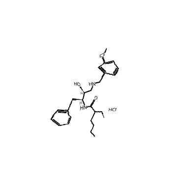 CCCCC(CC)C(=O)N[C@@H](Cc1ccccc1)[C@@H](O)CNCc1cccc(OC)c1.Cl